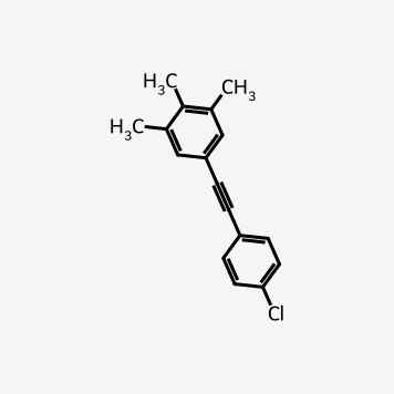 Cc1cc(C#Cc2ccc(Cl)cc2)cc(C)c1C